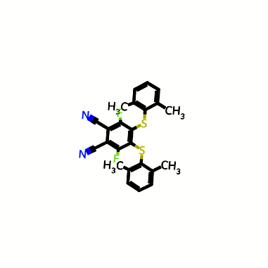 Cc1cccc(C)c1Sc1c(F)c(C#N)c(C#N)c(F)c1Sc1c(C)cccc1C